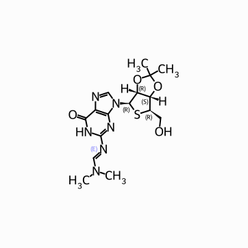 CN(C)/C=N/c1nc2c(ncn2[C@@H]2S[C@H](CO)[C@H]3OC(C)(C)O[C@H]32)c(=O)[nH]1